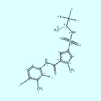 Cc1c(F)ccc(NC(=O)c2cc(S(=O)(=O)N[C@H](C)C(F)(F)F)cn2C)c1F